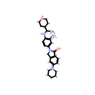 CC(Nc1ccc(N2Cc3cc(N4CCCCC4)ccc3C2=O)cc1N)C1CCOCC1